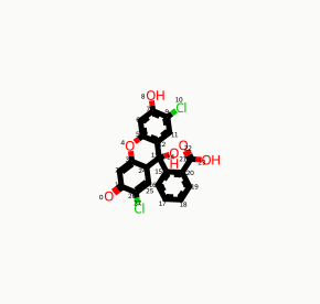 O=C1C=C2Oc3cc(O)c(Cl)cc3C(O)(c3ccccc3C(=O)O)C2C=C1Cl